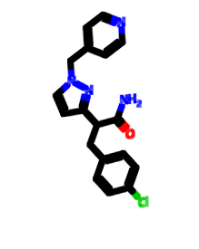 NC(=O)C(Cc1ccc(Cl)cc1)c1ccn(Cc2ccncc2)n1